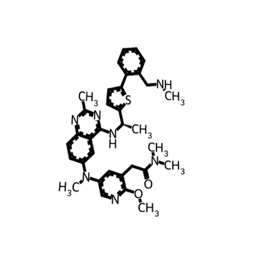 CNCc1ccccc1-c1ccc([C@@H](C)Nc2nc(C)nc3ccc(N(C)c4cnc(OC)c(CC(=O)N(C)C)c4)cc23)s1